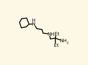 CCC(N)(CC)CNCCCNC1CCCCC1